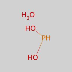 O.OPO